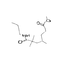 CCCNC(=O)C(C)(C)CC(C)CCC(=O)OC